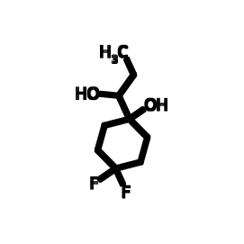 CC[C](O)C1(O)CCC(F)(F)CC1